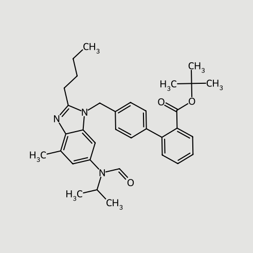 CCCCc1nc2c(C)cc(N(C=O)C(C)C)cc2n1Cc1ccc(-c2ccccc2C(=O)OC(C)(C)C)cc1